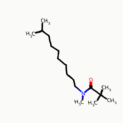 CC(C)CCCCCCCCN(C)C(=O)C(C)(C)C